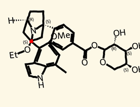 CCO[C@H]1C[C@H]2CC[C@@](c3ccc(C(=O)OC4OC[C@H](O)[C@H](O)[C@H]4O)cc3)(C1)N2Cc1c(OC)cc(C)c2[nH]ccc12